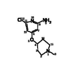 CN1CCC(Oc2cc(N)nc(Cl)c2)CC1